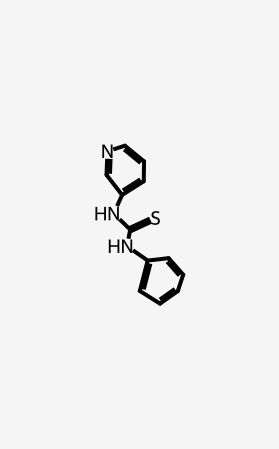 S=C(Nc1ccccc1)Nc1cccnc1